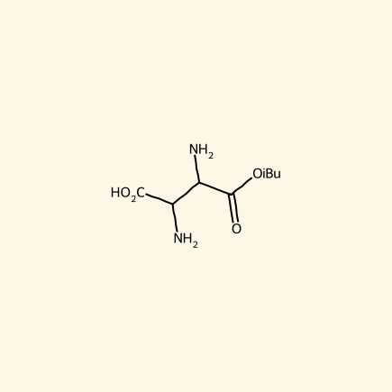 CC(C)COC(=O)C(N)C(N)C(=O)O